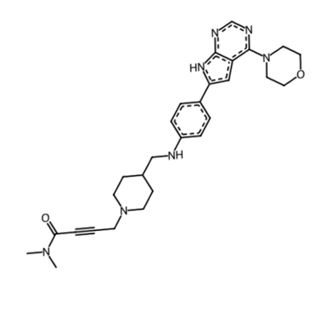 CN(C)C(=O)C#CCN1CCC(CNc2ccc(-c3cc4c(N5CCOCC5)ncnc4[nH]3)cc2)CC1